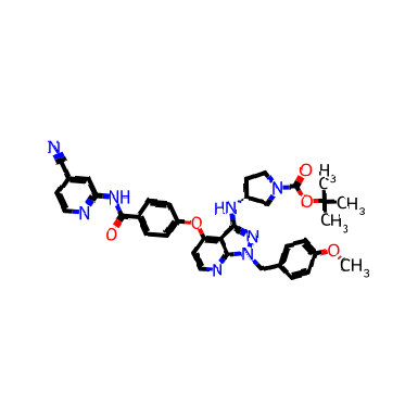 COc1ccc(Cn2nc(N[C@@H]3CCN(C(=O)OC(C)(C)C)C3)c3c(Oc4ccc(C(=O)Nc5cc(C#N)ccn5)cc4)ccnc32)cc1